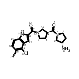 N[C@H]1CCN(C(=O)[C@H]2CCN(C(=O)c3cc4c(Cl)c(F)ccc4[nH]3)C2)C1